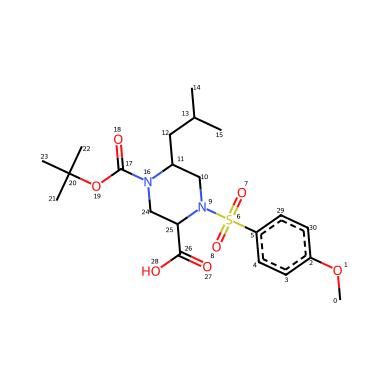 COc1ccc(S(=O)(=O)N2CC(CC(C)C)N(C(=O)OC(C)(C)C)CC2C(=O)O)cc1